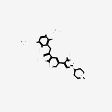 CCN1CCC(n2cc(C3=Cc4c(Cc5c(F)c(OC)cc(OC)c5F)c[nH]c4NC3)c(C)n2)CC1